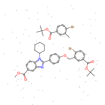 COC(=O)c1ccc2c(c1)nc(-c1ccc(OCc3cc(C(=O)OC(C)(C)C)ccc3Br)cc1)n2C1CCCCC1.Cc1cc(C(=O)OC(C)(C)C)ccc1Br